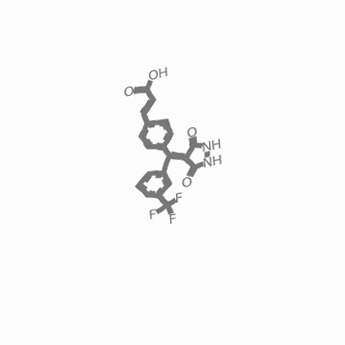 O=C(O)C=Cc1ccc(C(=C2C(=O)NNC2=O)c2cccc(C(F)(F)F)c2)cc1